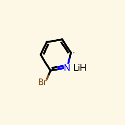 Brc1ccc[c]n1.[LiH]